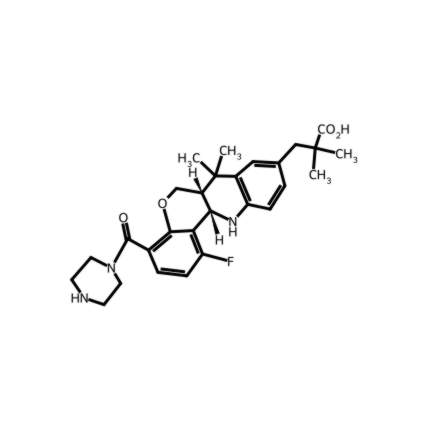 CC(C)(Cc1ccc2c(c1)C(C)(C)[C@H]1COc3c(C(=O)N4CCNCC4)ccc(F)c3[C@H]1N2)C(=O)O